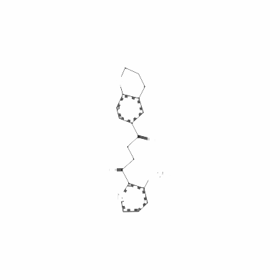 COc1cccnc1C(=O)CCC(=O)c1ccc2c(c1)CCCO2